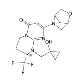 O=c1cc(N2CC3CC2CO3)nc2n1CC[C@@H](C(F)(F)F)N2CC1(O)CC1